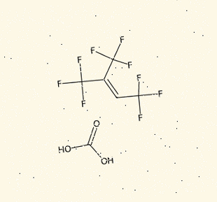 FC(F)(F)C=C(C(F)(F)F)C(F)(F)F.O=C(O)O